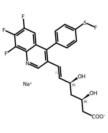 O=C([O-])C[C@H](O)C[C@H](O)/C=C/c1cnc2c(F)c(F)c(F)cc2c1-c1ccc(SF)cc1.[Na+]